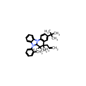 C=CCC1(C)c2cc(C(C)(C)C)ccc2N2c3ccccc3N(c3ccccc3C)C2C1(C)C